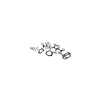 CC(C)(COc1noc(C(=O)NC2C3CC4CC(C3)CC2C4)c1SC1CCCCC1)C(=O)N1CCC[C@@H]1C(=O)O